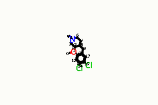 CO[C@@H]1CN(C)CCC1Cc1ccc(Cl)c(Cl)c1